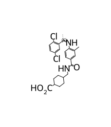 Cc1cc(C(=O)NCC2CCC(C(=O)O)CC2)ccc1N[C@@H](C)c1cc(Cl)ccc1Cl